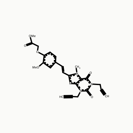 C#CCn1c(=O)c2c(nc(/C=C/c3ccc(OCC(=O)OC)c(OC)c3)n2C)n(CC#C)c1=O